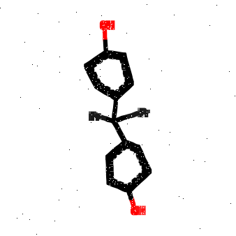 CC(C)C(c1ccc(O)cc1)(c1ccc(O)cc1)C(C)C